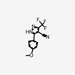 COc1ccc(-c2[nH]nc(C(F)(F)F)c2C#N)cc1